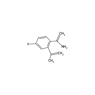 C=C(C)c1cc(F)ccc1C(=C)N